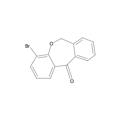 O=C1c2ccccc2COc2c(Br)cccc21